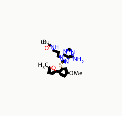 COc1ccc(-c2ccc(C)o2)c(Sc2nc3c(N)ncnc3n2CCCNC(=O)C(C)(C)C)c1